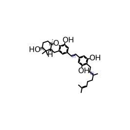 CC(C)=CCC/C(C)=C/Cc1c(O)cc(/C=C/c2cc(O)c3c(c2)C[C@@H]2C(C)(C)[C@H](O)CC[C@@]2(C)O3)cc1O